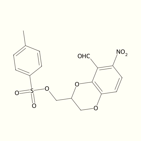 Cc1ccc(S(=O)(=O)OCC2COc3ccc([N+](=O)[O-])c(C=O)c3O2)cc1